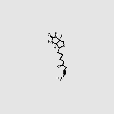 CC#CCC(=O)CCCC[C@@H]1SC[C@@H]2NC(=O)N[C@@H]21